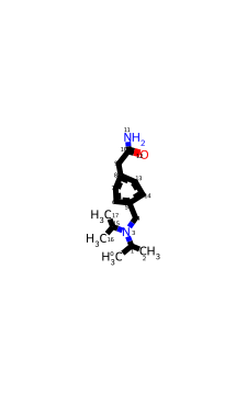 CC(C)N(Cc1ccc(CC(N)=O)cc1)C(C)C